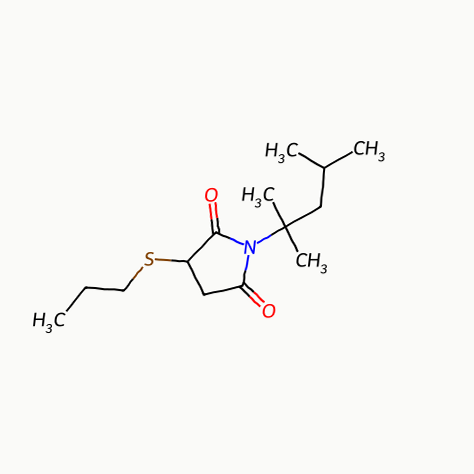 CCCSC1CC(=O)N(C(C)(C)CC(C)C)C1=O